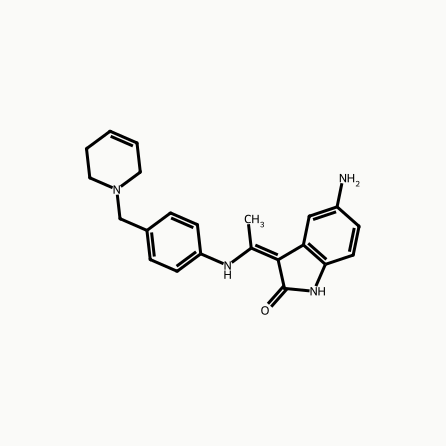 C/C(Nc1ccc(CN2CC=CCC2)cc1)=C1/C(=O)Nc2ccc(N)cc21